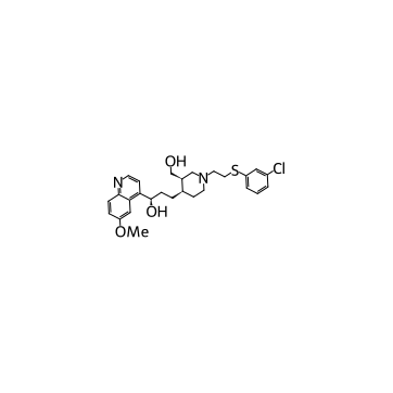 COc1ccc2nccc([C@H](O)CC[C@@H]3CCN(CCSc4cccc(Cl)c4)C[C@@H]3CO)c2c1